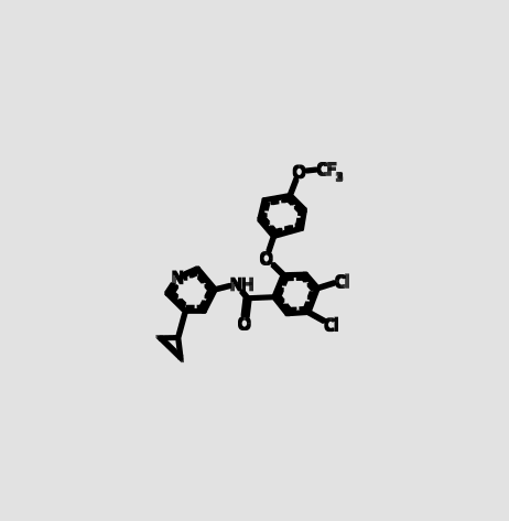 O=C(Nc1cncc(C2CC2)c1)c1cc(Cl)c(Cl)cc1Oc1ccc(OC(F)(F)F)cc1